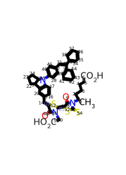 CC(CCCCC(=O)O)N1C(=O)/C(=c2\s/c(=C\c3ccc4c(c3)C3CCCC3N4c3ccc(C=C(c4ccccc4)c4ccccc4)cc3)c(=O)n2CC(=O)O)SC1=S